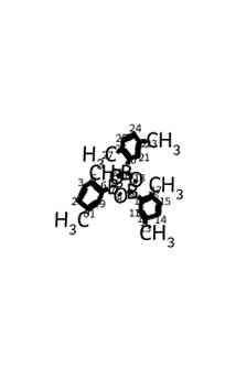 Cc1ccc(C)c(B2OB(c3cc(C)ccc3C)OB(c3cc(C)ccc3C)O2)c1